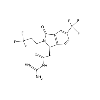 N=C(N)NC(=O)C[C@@H]1c2ccc(C(F)(F)F)cc2C(=O)N1CCC(F)(F)F